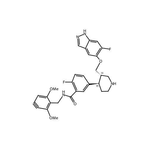 COc1c#ccc(OC)c1CNC(=O)c1cc([C@@H]2CCNC[C@H]2COc2cc3cn[nH]c3cc2F)ccc1F